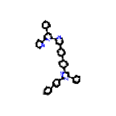 c1ccc(-c2ccc(-c3nc(-c4ccccc4)cc(-c4ccc(-c5ccc(-c6ccnc(-c7cc(-c8ccccc8)cc(-c8ccccn8)n7)c6)cc5)cc4)n3)cc2)cc1